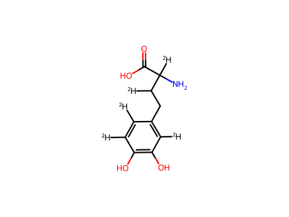 [2H]c1c([2H])c(CC([2H])C([2H])(N)C(=O)O)c([2H])c(O)c1O